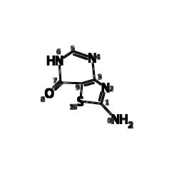 Nc1nc2nc[nH]c(=O)c2s1